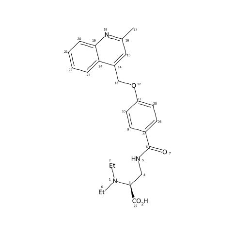 CCN(CC)[C@@H](CNC(=O)c1ccc(OCc2cc(C)nc3ccccc23)cc1)C(=O)O